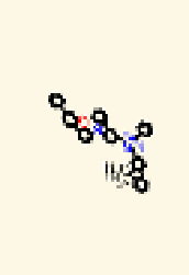 CC1(C)c2ccccc2-c2ccc(-c3nc(-c4ccccc4)nc(-c4ccc5c(c4)c4ccccc4n5-c4cccc5c4oc4cc(-c6ccccc6)ccc45)n3)cc21